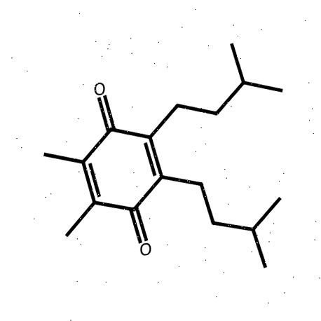 CC1=C(C)C(=O)C(CCC(C)C)=C(CCC(C)C)C1=O